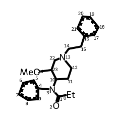 CCC(=O)N(c1ccccc1)C1CCN(CCc2ccccc2)CC1OC